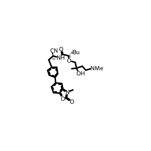 CCC(C)[C@H](OCC(C)(O)CCNC)C(=O)N[C@H](C#N)Cc1ccc(-c2ccc3oc(=O)n(C)c3c2)cc1